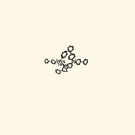 c1ccc(-c2ccc(-c3nc(-c4ccccc4)nc(-n4c5cc(-c6ccccc6)ccc5c5ccc(N(c6ccc(-c7ccccc7)cc6)c6ccc(-c7ccccc7)cc6)cc54)n3)cc2)cc1